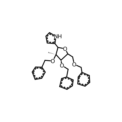 C[C@]1(OCc2ccccc2)C(c2ccc[nH]2)OC(COCc2ccccc2)[C@H]1OCc1ccccc1